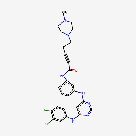 CN1CCN(CCC#CC(=O)Nc2cccc(Nc3cc(Nc4ccc(F)c(Cl)c4)ncn3)c2)CC1